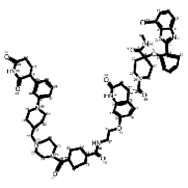 CNC(=O)C1(Oc2ccccc2-c2nc3cccc(Cl)c3s2)CCN(C(=O)[C@H]2CC(=O)Nc3cc(OCCNC(=O)C4CCC(C(=O)N5CCN(CC6CCN(c7cccc(C8CCC(=O)NC8=O)c7)CC6)CC5)CC4)ccc32)CC1